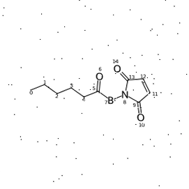 CCCCCC(=O)[B]N1C(=O)C=CC1=O